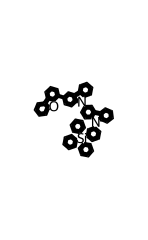 c1ccc([Si](c2ccccc2)(c2ccccc2)c2cccc(-n3c4ccccc4c4cc(-n5c6ccccc6c6cc(-c7cccc8c7oc7ccccc78)ccc65)ccc43)c2)cc1